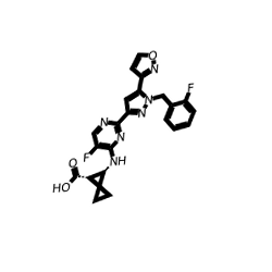 O=C(O)[C@@H]1[C@H](Nc2nc(-c3cc(-c4ccon4)n(Cc4ccccc4F)n3)ncc2F)C12CC2